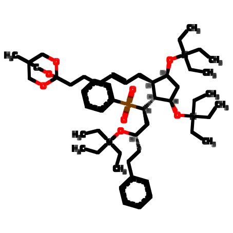 CC[Si](CC)(CC)O[C@@H](CCc1ccccc1)C[C@H]([C@@H]1[C@@H](CC=CCCCC23OCC(C)(CO2)CO3)[C@@H](O[Si](CC)(CC)CC)C[C@H]1O[Si](CC)(CC)CC)S(=O)(=O)c1ccccc1